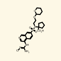 NC(=NCl)Nc1cncc2cc(S(=O)(=O)N(CCOC3CCCCO3)C3(C(=O)O)CCCC3)ccc12